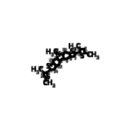 Cc1cc(C)c(-c2cc3cc4c5cc6cc(-c7sc(C)cc7C)sc6cc5n(C)c4cc3s2)s1